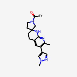 CCC(=O)N1CCC2(CCc3cc(-c4cnn(C)c4)c(C)nc3N2)C1